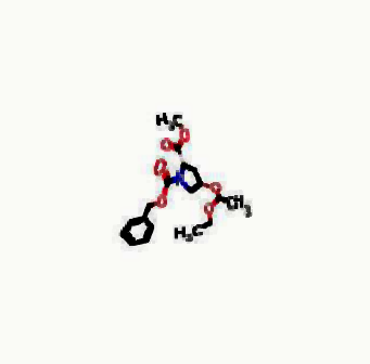 CCOC(C)O[C@@H]1C[C@@H](C(=O)OC)N(C(=O)OCc2ccccc2)C1